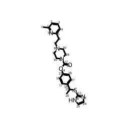 Cc1cccc(CCN2CCN(C(=O)Oc3ccc(C(C)Sc4ncc[nH]4)cc3)CC2)n1